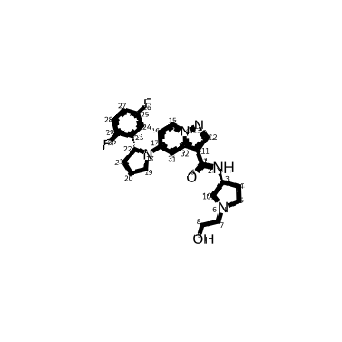 O=C(N[C@H]1CCN(CCO)C1)c1cnn2ccc(N3CCC[C@@H]3c3cc(F)ccc3F)cc12